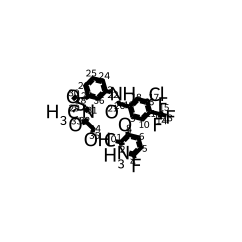 Cc1nc(F)ccc1Oc1cc(C(F)(F)F)c(Cl)cc1C(=O)Nc1cccc([S@@](C)(=O)=NC(=O)CO)c1